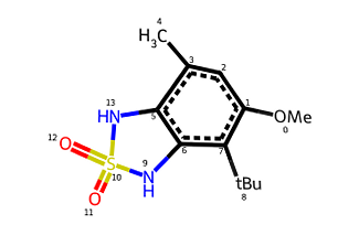 COc1cc(C)c2c(c1C(C)(C)C)NS(=O)(=O)N2